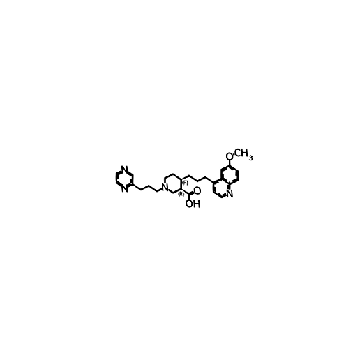 COc1ccc2nccc(CCC[C@@H]3CCN(CCCc4cnccn4)C[C@@H]3C(=O)O)c2c1